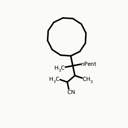 CCCCCC(C)(C1CCCCCCCCCCC1)C(C)C(C)C#N